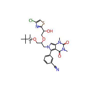 Cn1c(=O)c2c(-c3cccc(C#N)c3)n(CC(CO[Si](C)(C)C(C)(C)C)OCC(O)c3nc(Cl)cs3)cc2n(C)c1=O